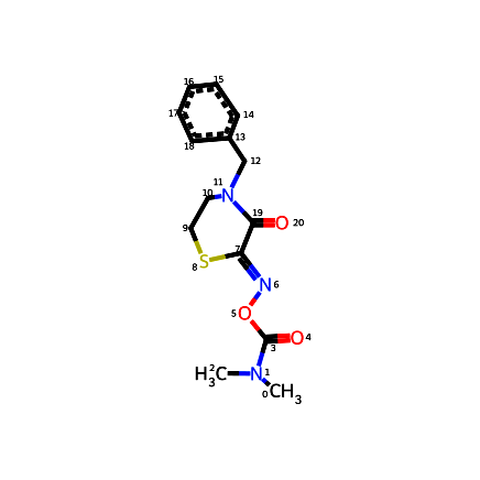 CN(C)C(=O)ON=C1SCCN(Cc2ccccc2)C1=O